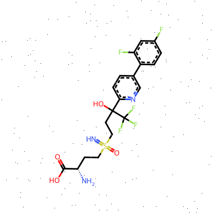 N=S(=O)(CC[C@H](N)C(=O)O)CCC(O)(c1ccc(-c2ccc(F)cc2F)cn1)C(F)(F)F